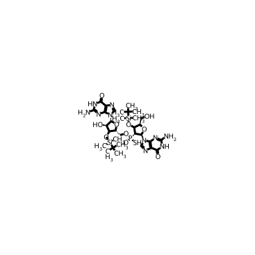 CC(C)(C)[Si](C)(C)OC1[C@@H](O)[C@H](n2cnc3c(=O)[nH]c(N)nc32)O[C@@H]1COP(=O)(S)[C@@H]1C(O[Si](C)(C)C(C)(C)C)[C@@H](CO)O[C@H]1n1cnc2c(=O)[nH]c(N)nc21